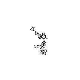 CCS(=O)(=O)N1CC(CC#N)(n2cc(-c3c(C)cnc4c3ccn4COCC[Si](C)(C)C)cn2)C1